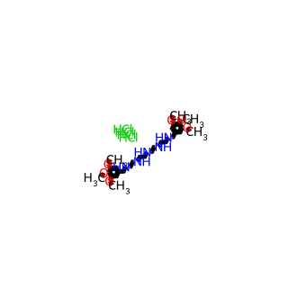 COc1cc(CNCCNCCNCCNCCNCc2cc(OC)c(OC)c(OC)c2)cc(OC)c1OC.Cl.Cl.Cl.Cl